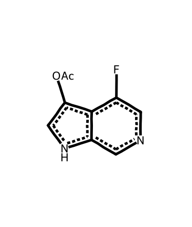 CC(=O)Oc1c[nH]c2cncc(F)c12